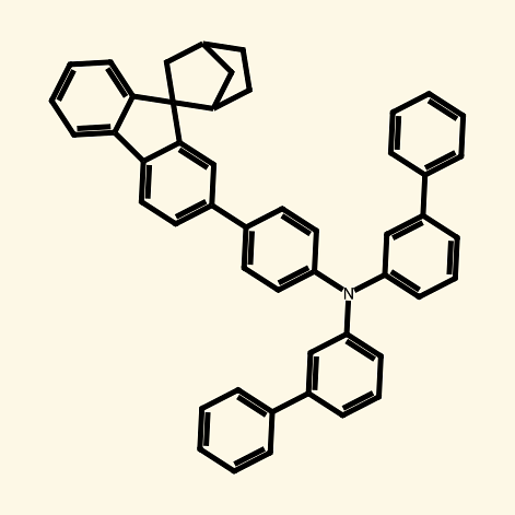 c1ccc(-c2cccc(N(c3ccc(-c4ccc5c(c4)C4(CC6CCC4C6)c4ccccc4-5)cc3)c3cccc(-c4ccccc4)c3)c2)cc1